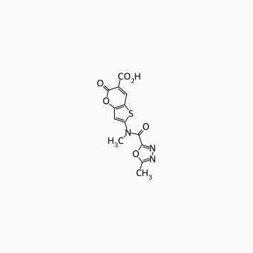 Cc1nnc(C(=O)N(C)c2cc3oc(=O)c(C(=O)O)cc3s2)o1